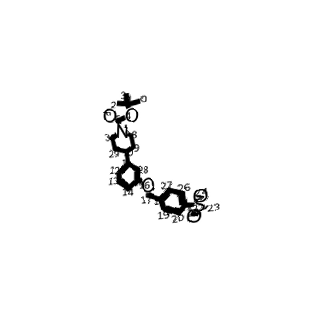 CC(C)(C)OC(=O)N1CCC(c2cccc(OCc3ccc(S(C)(=O)=O)cc3)c2)CC1